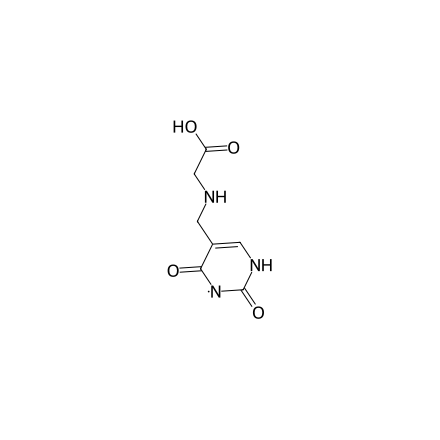 O=C(O)CNCC1=CNC(=O)[N]C1=O